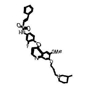 COc1cc2c(Oc3ccc(NS(=O)(=O)C=Cc4ccccc4)cc3F)ccnc2cc1OCCCN1CCCC(C)C1